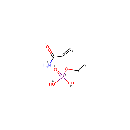 C=CC(N)=O.CCOP(=O)(O)O